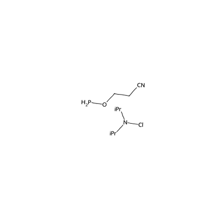 CC(C)N(Cl)C(C)C.N#CCCOP